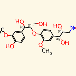 COc1cc([C@@H](O)[C@H](CO)Oc2ccc([C@@H](O)[C@H](O)CN=O)cc2OC)ccc1O